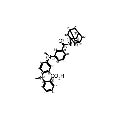 CN(c1ccc(N(C)c2ccccc2C(=O)O)cc1)c1cccc(C(=O)NC23CC4CC(CC(C4)C2)C3)c1